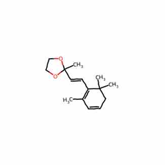 CC1=C(/C=C/C2(C)OCCO2)C(C)(C)CC=C1